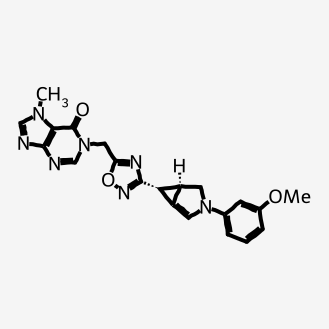 COc1cccc(N2C=C3[C@H](c4noc(Cn5cnc6ncn(C)c6c5=O)n4)[C@H]3C2)c1